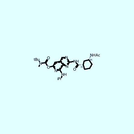 CC(=O)N[C@@H]1CCC[C@H](C(=O)Nc2ncc3cc(OC(=O)N(C)C(C)(C)C)nc(NC(C)C)c3n2)C1